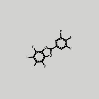 Fc1cc(B2Oc3c(F)c(F)c(F)c(F)c3O2)cc(F)c1F